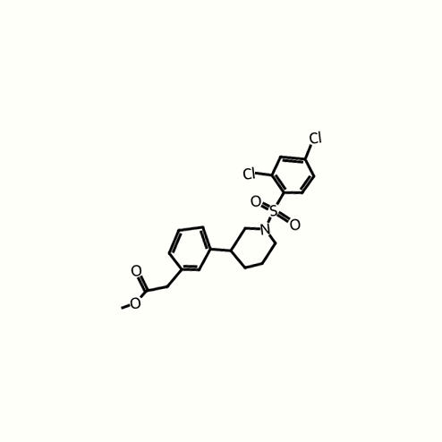 COC(=O)Cc1cccc(C2CCCN(S(=O)(=O)c3ccc(Cl)cc3Cl)C2)c1